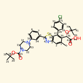 Cc1cc2nc(-c3cccc(N4CCN(C(=O)OC(C)(C)C)CC4)c3)sc2c(-c2ccc(Cl)cc2)c1[C@H](OC(C)(C)C)C(=O)O